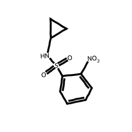 O=[N+]([O-])c1ccccc1S(=O)(=O)NC1CC1